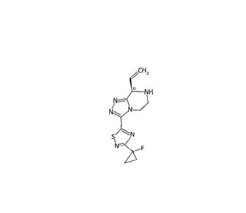 C=C[C@H]1NCCn2c(-c3nc(C4(F)CC4)ns3)nnc21